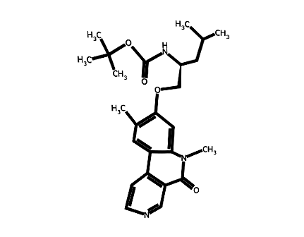 Cc1cc2c3ccncc3c(=O)n(C)c2cc1OC[C@H](CC(C)C)NC(=O)OC(C)(C)C